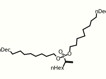 C=C(CCCCCC)P(=O)(OCCCCCCCCCCCCCCCCCC)OCCCCCCCCCCCCCCCCCC